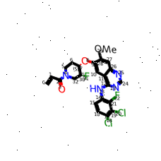 C=CC(=O)N1CC[C@H](Oc2cc3c(Nc4ccc(Cl)c(Cl)c4F)ncnc3cc2OC)[C@H](F)C1